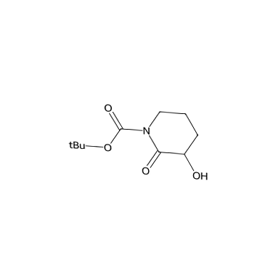 CC(C)(C)OC(=O)N1CCCC(O)C1=O